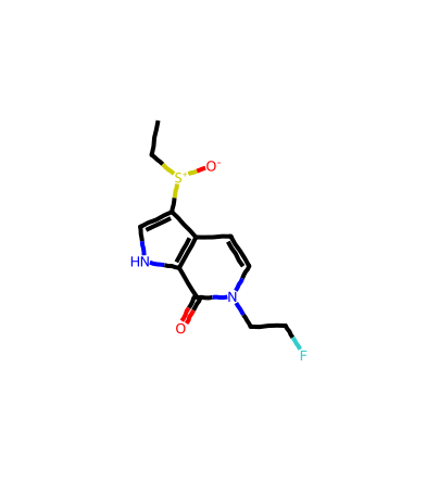 CC[S+]([O-])c1c[nH]c2c(=O)n(CCF)ccc12